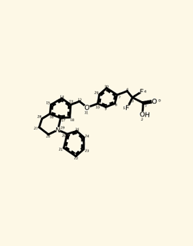 O=C(O)C(F)(F)Cc1ccc(OCc2ccc3c(c2)N(c2ccccc2)CCC3)cc1